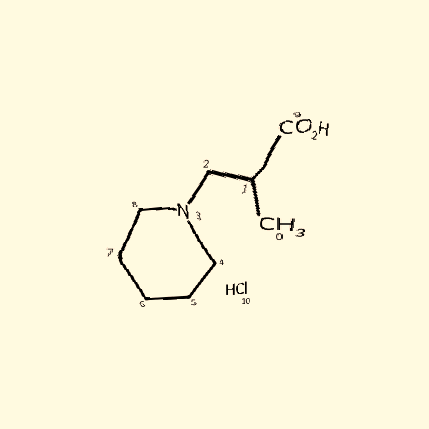 CC(CN1CCCCC1)C(=O)O.Cl